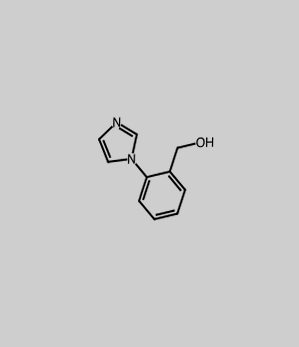 OCc1ccccc1-n1ccnc1